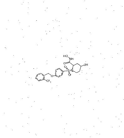 O=C(NO)C1CC(O)CCN1S(=O)(=O)c1ccc(OCc2ccccc2C(F)(F)F)cc1